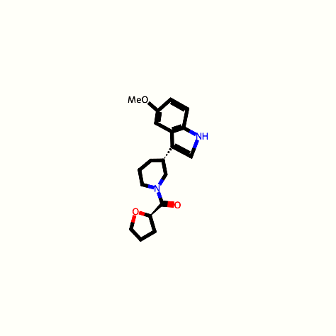 COc1ccc2[nH]cc([C@H]3CCCN(C(=O)[C@H]4CCCO4)C3)c2c1